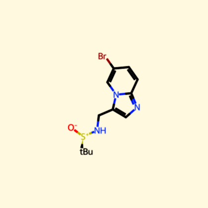 CC(C)(C)[S@@+]([O-])NCc1cnc2ccc(Br)cn12